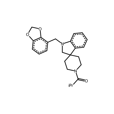 CC(C)C(=O)N1CCC2(CC1)CN(Cc1cccc3c1OCO3)c1ccccc12